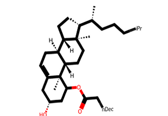 CCCCCCCCCCCC(=O)OC1C[C@H](O)CC2=CC[C@H]3[C@@H]4CC[C@H]([C@H](C)CCCC(C)C)[C@@]4(C)CC[C@@H]3[C@]21C